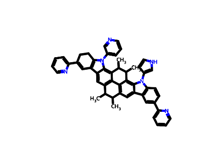 CC1c2cc3c4c(n(-c5cccnc5)c3c3c2-c2c(cc5c6cc(-c7ccccn7)ccc6n(-c6cc[nH]c6)c5c2C(C)C3C)C1C)CCC(c1ccccn1)=C4